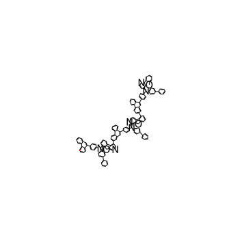 c1ccc(-c2ccc(N(c3ccc(-c4cc5ccccc5c5ccccc45)cc3)c3cccc4c3oc3cncc(-c5ccc6c(c5)cc(-c5ccc(N(c7ccc(-c8ccccc8)cc7)c7nccc8c7oc7cccc(-c9ccc%10c(c9)cc(-c9ccc(N(c%11ccc(-c%12ccccc%12)cc%11)c%11ccnc%12c%11oc%11ccccc%11%12)cc9)c9ccccc9%10)c78)cc5)c5ccccc56)c34)cc2)cc1